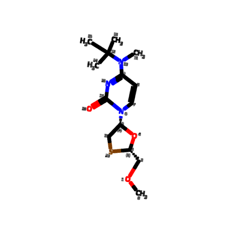 COC[C@H]1O[C@@H](n2ccc(N(C)C(C)(C)C)nc2=O)CS1